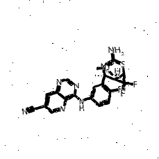 COC[C@@]12SC(N)=N[C@](C)(c3cc(Nc4ncnc5cc(C#N)cnc45)ccc3F)[C@@H]1C2(F)F